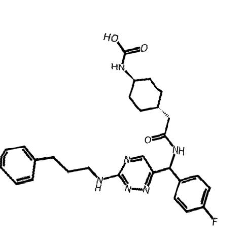 O=C(C[C@H]1CC[C@H](NC(=O)O)CC1)NC(c1ccc(F)cc1)c1cnc(NCCCc2ccccc2)nn1